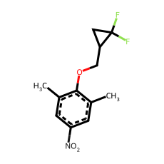 Cc1cc([N+](=O)[O-])cc(C)c1OCC1CC1(F)F